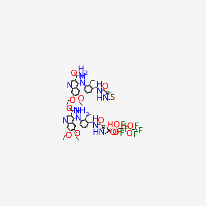 CCOc1cc2ncc(C(N)=O)c(Nc3cccc(CNC(=O)[C@@H]4C[C@@H](O)CN4)c3CC)c2cc1OCC.CCOc1cc2ncc(C(N)=O)c(Nc3cccc(CNC(=O)[C@H]4CSCN4)c3CC)c2cc1OCC.O=C(O)C(F)(F)F.O=C(O)C(F)(F)F